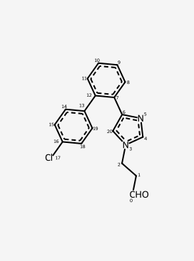 O=CCCn1cnc(-c2ccccc2-c2ccc(Cl)cc2)c1